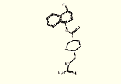 N=C(N)NC[C@H]1CC[C@H](C(=O)Oc2ccc(Cl)c3ccccc23)CC1